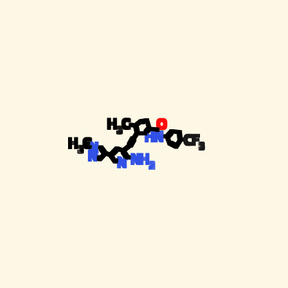 Cc1ccc(C(=O)Nc2ccc(C(F)(F)F)cc2)cc1C#Cc1cc(-c2cnn(C)c2)cnc1N